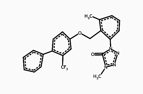 Cc1cccc(-n2nnn(C)c2=O)c1COc1ccc(-c2ccccc2)c(C(F)(F)F)c1